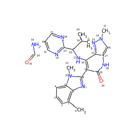 Cc1cccc2c1nc(-c1c(NC(c3ncccn3)C(C)C)c3nn(C)cc3[nH]c1=O)n2C.NC=O